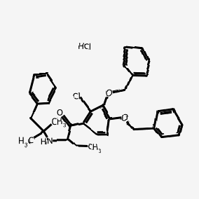 CCC(NC(C)(C)Cc1ccccc1)C(=O)c1ccc(OCc2ccccc2)c(OCc2ccccc2)c1Cl.Cl